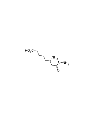 NOC(=O)CC(N)CCCCC(=O)O